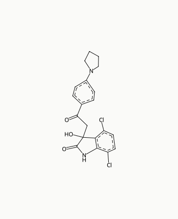 O=C(CC1(O)C(=O)Nc2c(Cl)ccc(Cl)c21)c1ccc(N2CCCC2)cc1